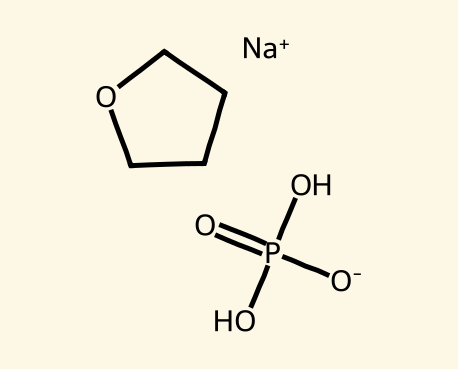 C1CCOC1.O=P([O-])(O)O.[Na+]